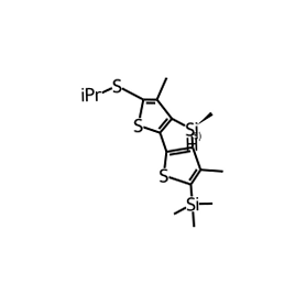 Cc1c(SC(C)C)sc2c1[Si@@H](C)c1c-2sc([Si](C)(C)C)c1C